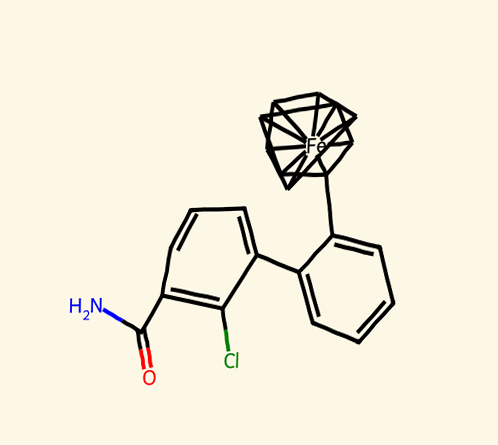 NC(=O)c1cccc(-c2ccccc2[C]23[CH]4[CH]5[CH]6[CH]2[Fe]56432789[CH]3[CH]2[CH]7[CH]8[CH]39)c1Cl